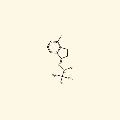 CC(C)(C)[S@+]([O-])N=C1CCc2c(F)cccc21